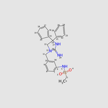 CCS(=O)(=O)Nc1cccc(CN2CC(c3ccccc3)(c3ccccc3)NC2=N)c1